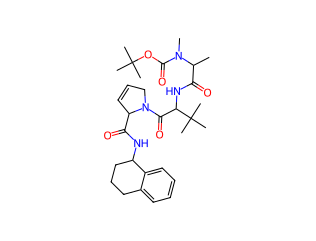 CC(C(=O)NC(C(=O)N1CC=CC1C(=O)NC1CCCc2ccccc21)C(C)(C)C)N(C)C(=O)OC(C)(C)C